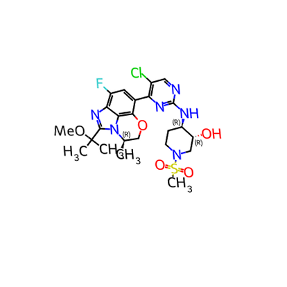 COC(C)(C)c1nc2c(F)cc(-c3nc(N[C@@H]4CCN(S(C)(=O)=O)C[C@H]4O)ncc3Cl)c3c2n1[C@H](C)CO3